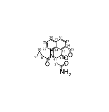 NC(=O)C[C@H](NC(=O)C1CC1)C(=O)c1c([C]=O)ccc2ccccc12